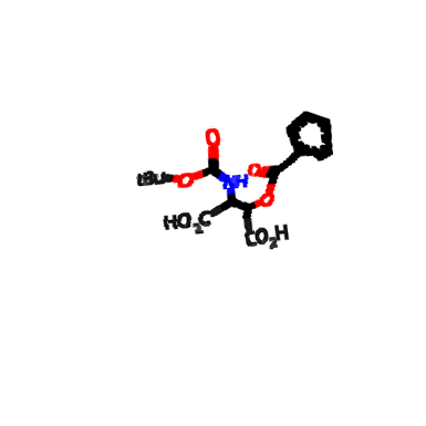 CC(C)(C)OC(=O)NC(C(=O)O)C(OC(=O)c1ccccc1)C(=O)O